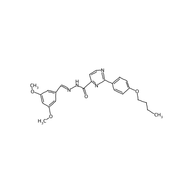 CCCCOc1ccc(-c2nccc(C(=O)NN=Cc3cc(OC)cc(OC)c3)n2)cc1